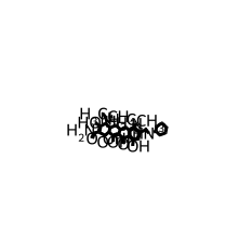 CN(C)c1c(CNC2CCCCC2)cc(O)c2c1C[C@H]1C[C@H]3[C@H](N(C)C)C(O)=C(C(N)=O)C(=O)[C@@]3(O)C(O)=C1C2=O